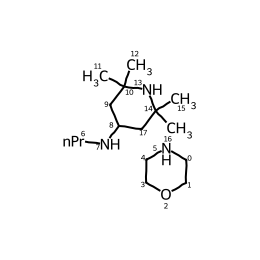 C1COCCN1.CCCNC1CC(C)(C)NC(C)(C)C1